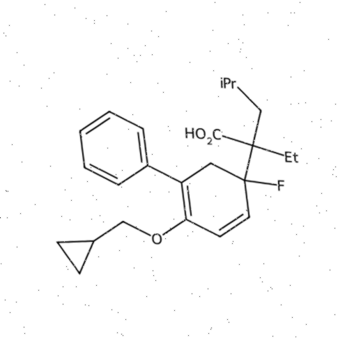 CCC(CC(C)C)(C(=O)O)C1(F)C=CC(OCC2CC2)=C(c2ccccc2)C1